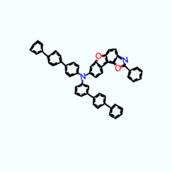 c1ccc(-c2ccc(-c3ccc(N(c4cccc(-c5ccc(-c6ccccc6)cc5)c4)c4ccc5c(c4)oc4ccc6nc(-c7ccccc7)oc6c45)cc3)cc2)cc1